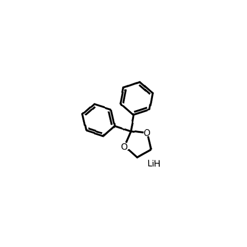 [LiH].c1ccc(C2(c3ccccc3)OCCO2)cc1